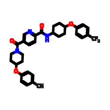 N#Cc1ccc(OC2CCN(C(=O)c3ccc(C(=O)NC4CCC(Oc5ccc(C(F)(F)F)cc5)CC4)nc3)CC2)cc1